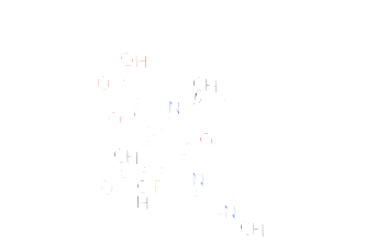 CC(C)=O.C[C@H]1COc2c(N3CCN(C)CC3)c(F)cc3c(=O)c(C(=O)O)cn1c23